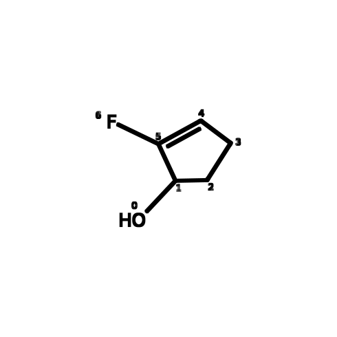 OC1CCC=C1F